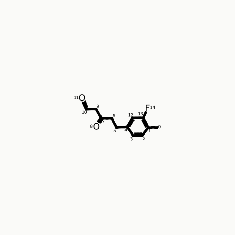 Cc1ccc(CCC(=O)CC=O)cc1F